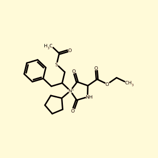 CCOC(=O)C1NC(=O)[N+](C2CCCC2)(C(CSC(C)=O)Cc2ccccc2)C1=O